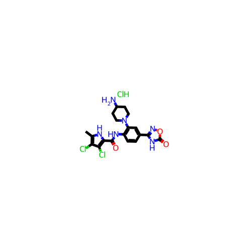 Cc1[nH]c(C(=O)Nc2ccc(-c3noc(=O)[nH]3)cc2N2CCC(N)CC2)c(Cl)c1Cl.Cl